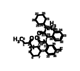 CCC(=O)N1CCCC[C@H]1C(=O)N(c1cccc(F)c1)[C@H](C(=O)NC1CCCCC1)c1ccccc1C